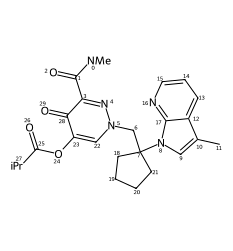 CNC(=O)c1nn(CC2(n3cc(C)c4cccnc43)CCCC2)cc(OC(=O)C(C)C)c1=O